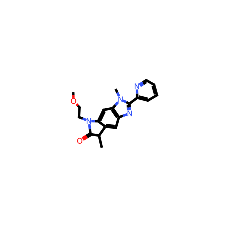 COCCN1C(=O)C(C)c2cc3nc(-c4ccccn4)n(C)c3cc21